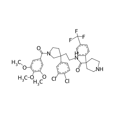 COc1cc(C(=O)N2CCC(CCNC(=O)C3(c4ccc(C(F)(F)F)cc4)CCNCC3)(c3ccc(Cl)c(Cl)c3)C2)cc(OC)c1OC